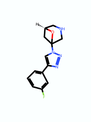 Fc1cccc(-c2cn(C34CNC[C@H](C3)O4)nn2)c1